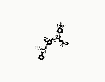 COc1cc(COc2nn(-c3ccc(C(F)(F)F)cc3)cc2C=CC(=O)O)ccc1OCc1nc(-c2ccccc2)oc1C